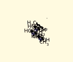 C/C(=C/C(=O)O)C(=O)O.C/C(=C/C(=O)O)C(=O)O.C/C(=C/C(=O)O)C(=O)O.CCCCC[CH2][Sn]